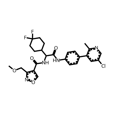 COCc1nocc1C(=O)NC(C(=O)Nc1ccc(-c2cc(Cl)cnc2C)cc1)C1CCC(F)(F)CC1